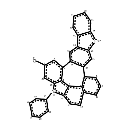 Clc1cc2c3c4c5c(cccc5ccc4n(-c4ccccc4)c3c1)-c1cc3oc4ccccc4c3cc1-2